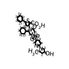 C[C@@H]1C[C@@H](O)CN1c1ccc(S(=O)(=O)N2CC(=O)N(c3cc(-c4ccccc4)sc3C(=O)O)C(C3CCCCC3)C2)cn1